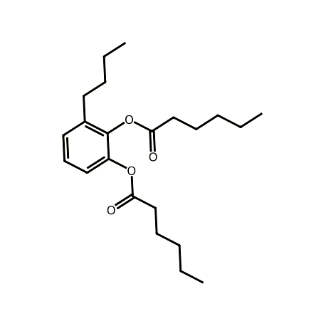 CCCCCC(=O)Oc1cccc(CCCC)c1OC(=O)CCCCC